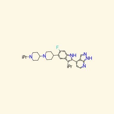 CC(C)c1c(-c2ccnc3[nH]ncc23)[nH]c2cc(F)c(C3CCN(C4CCN(C(C)C)CC4)CC3)cc12